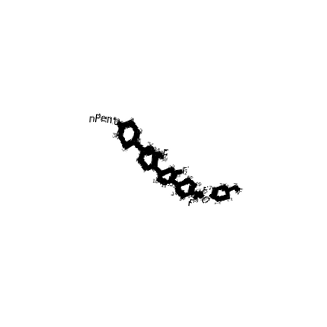 CCCCCC1CCC(c2ccc(-c3ccc(-c4ccc(C(F)(F)Oc5ccc(CF)cc5)cc4)c(F)c3)c(F)c2)CC1